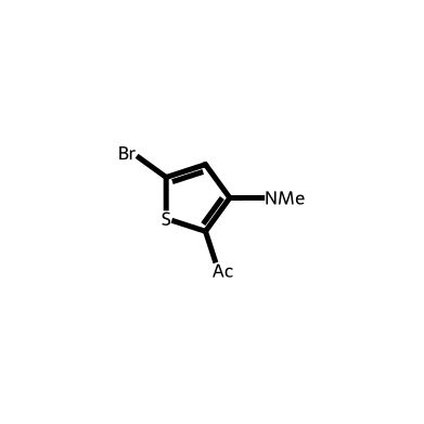 CNc1cc(Br)sc1C(C)=O